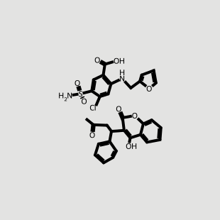 CC(=O)CC(c1ccccc1)c1c(O)c2ccccc2oc1=O.NS(=O)(=O)c1cc(C(=O)O)c(NCc2ccco2)cc1Cl